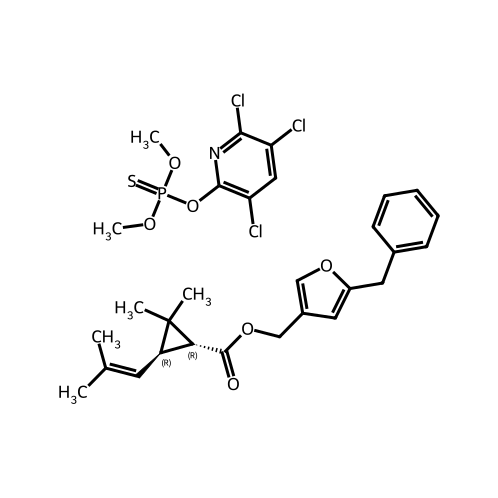 CC(C)=C[C@@H]1[C@@H](C(=O)OCc2coc(Cc3ccccc3)c2)C1(C)C.COP(=S)(OC)Oc1nc(Cl)c(Cl)cc1Cl